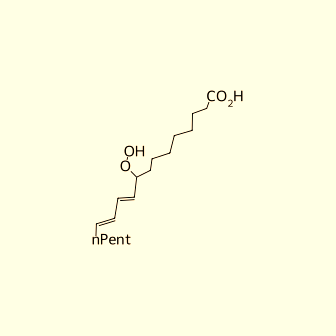 CCCCCC=CC=CC(CCCCCCCC(=O)O)OO